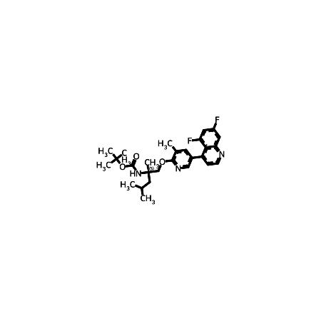 Cc1cc(-c2ccnc3cc(F)cc(F)c23)cnc1OC[C@](C)(CC(C)C)NC(=O)OC(C)(C)C